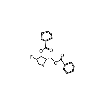 O=C(OC[C@@H]1SC[C@@H](F)[C@@H]1OC(=O)c1ccccc1)c1ccccc1